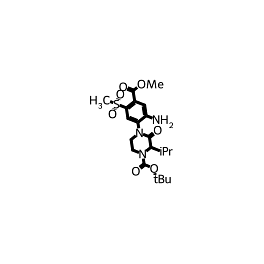 COC(=O)c1cc(N)c(N2CCN(C(=O)OC(C)(C)C)C(C(C)C)C2=O)cc1S(C)(=O)=O